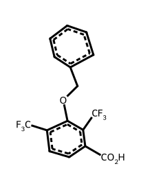 O=C(O)c1ccc(C(F)(F)F)c(OCc2ccccc2)c1C(F)(F)F